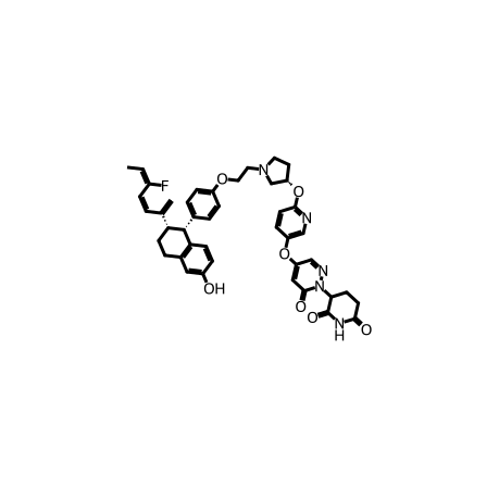 C=C(/C=C\C(F)=C/C)[C@H]1CCc2cc(O)ccc2[C@H]1c1ccc(OCCN2CC[C@H](Oc3ccc(Oc4cnn(C5CCC(=O)NC5=O)c(=O)c4)cn3)C2)cc1